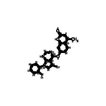 Cc1cc(=O)oc2cc(Oc3ncnc4c3c(I)cn4-c3ccccc3F)ccc12